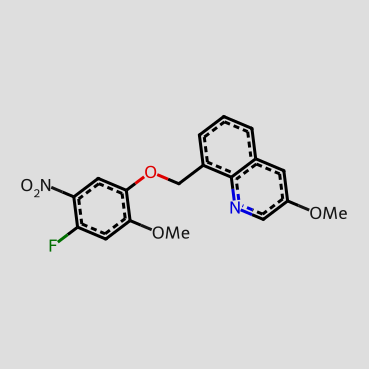 COc1cnc2c(COc3cc([N+](=O)[O-])c(F)cc3OC)cccc2c1